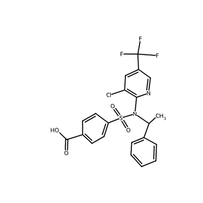 CC(c1ccccc1)N(c1ncc(C(F)(F)F)cc1Cl)S(=O)(=O)c1ccc(C(=O)O)cc1